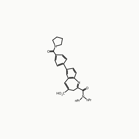 CCCN(CCC)C(=O)C1=Nc2ccc(-c3ccc(C(=O)N4CCCC4)cc3)cc2C=C(C(=O)O)C1